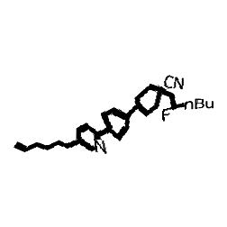 C=CCCCCc1ccc(-c2ccc(C3CCC(C#N)(CC(F)CCCC)CC3)cc2)nc1